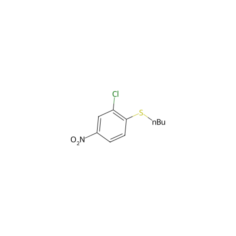 CCCCSc1ccc([N+](=O)[O-])cc1Cl